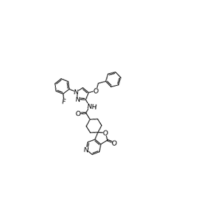 O=C1OC2(CCC(C(=O)Nc3nn(-c4ccccc4F)cc3OCc3ccccc3)CC2)c2cnccc21